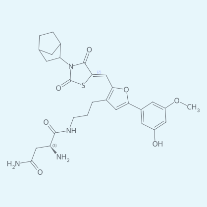 COc1cc(O)cc(-c2cc(CCCNC(=O)[C@@H](N)CC(N)=O)c(/C=C3\SC(=O)N(C4CC5CCC4C5)C3=O)o2)c1